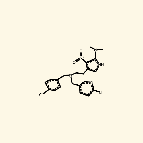 CN(C)c1[nH]cc(CCN(Cc2ccc(Cl)cc2)Cc2ccc(Cl)nc2)c1[N+](=O)[O-]